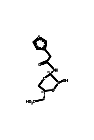 O=C(O)C[C@@H]1CC[C@H](NC(=O)Cc2ccsc2)B(O)O1